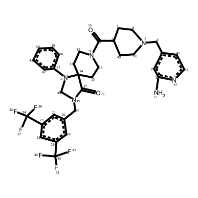 Nc1cc(CN2CCC(C(=O)N3CCC4(CC3)C(=O)N(Cc3cc(C(F)(F)F)cc(C(F)(F)F)c3)CN4c3ccccc3)CC2)ccn1